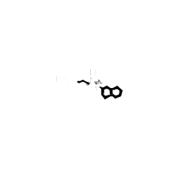 O=C(O)CCC(=O)NS(=O)(=O)c1ccc2ccccc2c1